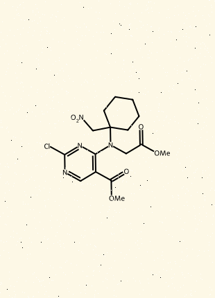 COC(=O)CN(c1nc(Cl)ncc1C(=O)OC)C1(C[N+](=O)[O-])CCCCC1